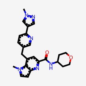 Cn1cc(-c2ccc(Cc3cc(C(=O)NC4CCOCC4)nc4ccn(C)c34)cn2)cn1